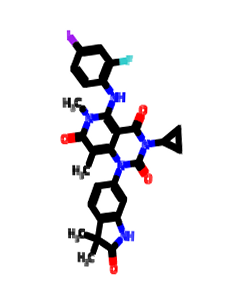 Cc1c(=O)n(C)c(Nc2ccc(I)cc2F)c2c(=O)n(C3CC3)c(=O)n(-c3ccc4c(c3)NC(=O)C4(C)C)c12